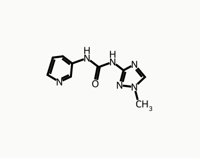 Cn1cnc(NC(=O)Nc2cccnc2)n1